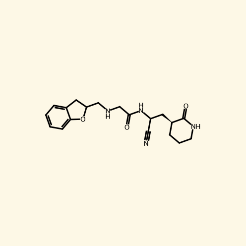 N#CC(C[C@@H]1CCCNC1=O)NC(=O)CNCC1Cc2ccccc2O1